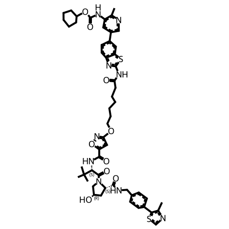 Cc1ncc(-c2ccc3nc(NC(=O)CCCCCCOc4cc(C(=O)N[C@H](C(=O)N5C[C@H](O)C[C@H]5C(=O)NCc5ccc(-c6scnc6C)cc5)C(C)(C)C)on4)sc3c2)cc1NC(=O)OC1CCCCC1